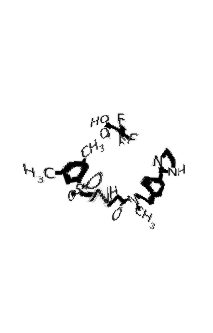 Cc1cc(C)cc(S(=O)(=O)CNCCC(=O)N(C)CCc2ccc(C3=NCCN3)cc2)c1.O=C(O)C(F)(F)F